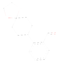 O=Cc1ccccc1C1CCC2(CC1)OCCO2